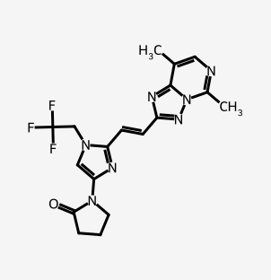 Cc1cnc(C)n2nc(C=Cc3nc(N4CCCC4=O)cn3CC(F)(F)F)nc12